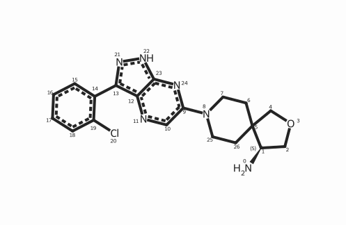 N[C@@H]1COCC12CCN(c1cnc3c(-c4ccccc4Cl)n[nH]c3n1)CC2